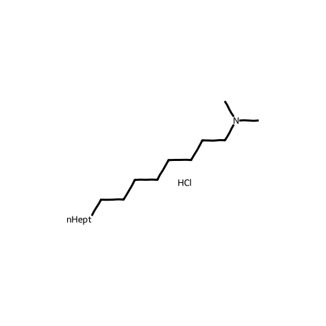 CCCCCCCCCCCCCCCN(C)C.Cl